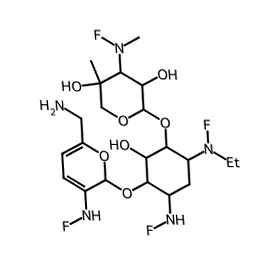 CCN(F)C1CC(NF)C(OC2OC(CN)=CC=C2NF)C(O)C1OC1OCC(C)(O)C(N(C)F)C1O